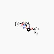 CC(C)COc1cccc(OC[C@H](C)NC(=O)OC(C)(C)C)c1I